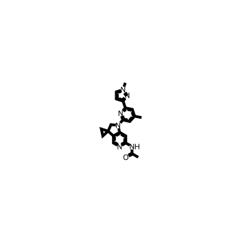 CC(=O)Nc1cc2c(cn1)C1(CC1)CN2c1cc(C)cc(-c2ccn(C)n2)n1